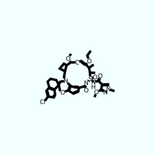 CCO/C1=C/CC(OC)C2CCC2CN2CC3(CCCc4cc(Cl)ccc43)COc3ccc(cc32)C(=O)N=S(=O)(NC(=O)c2cn(C)nc2OC)C(C)C1C